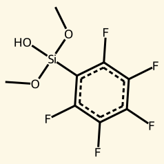 CO[Si](O)(OC)c1c(F)c(F)c(F)c(F)c1F